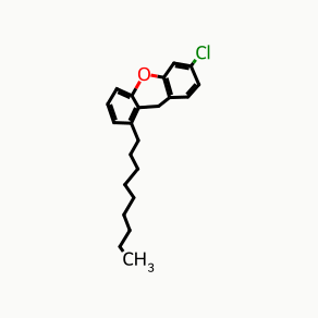 CCCCCCCCCc1cccc2c1Cc1ccc(Cl)cc1O2